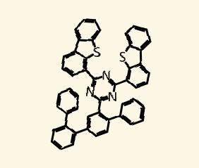 c1ccc(-c2ccccc2-c2ccc(-c3ccccc3)c(-c3nc(-c4cccc5c4sc4ccccc45)nc(-c4cccc5c4sc4ccccc45)n3)c2)cc1